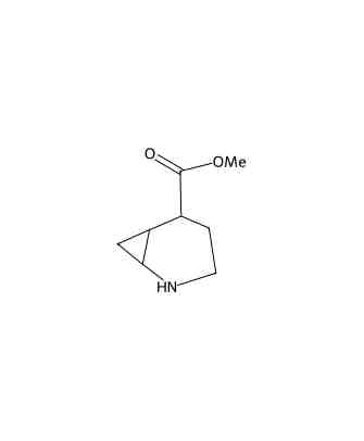 COC(=O)C1CCNC2CC21